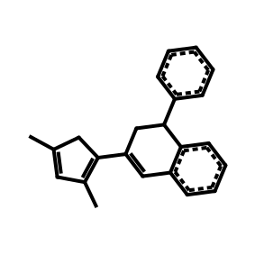 CC1=CC(C)=C(C2=Cc3ccccc3C(c3ccccc3)C2)C1